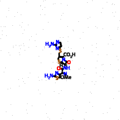 CON=C(C(=O)N[C@@H]1C(=O)N2C(C(=O)O)=C(CSc3ccnc(N)n3)CS[C@@H]12)c1csc(N)n1